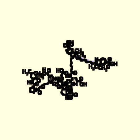 CC(=O)[C@H](CC(C)C)NC(=O)[C@@H]1CCCN1C(=O)COCCNC(=O)[C@@H](CCC(=O)O)NC(=O)[C@@H](CCC(=O)O)NC(=O)[C@@H](CCC(=O)O)NC(=O)[C@@H](CCC(=O)O)NC(=O)[C@@H](CCC(=O)O)NC(=O)CCCCCN1/C(=C/C=C/C=C/C=C/C2=Nc3ccc(S(=O)(=O)O)cc3C2(C)C)C(C)(C)c2cc(S(=O)(=O)O)ccc21